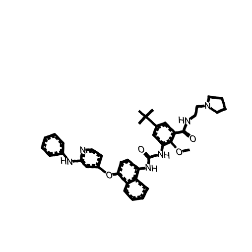 COc1c(NC(=O)Nc2ccc(Oc3ccnc(Nc4ccccc4)c3)c3ccccc23)cc(C(C)(C)C)cc1C(=O)NCCN1CCCC1